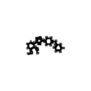 COc1cccc(-c2noc(N3CCN(Cc4ccccc4)CC3)n2)c1OC